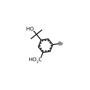 CC(C)(O)c1cc(Br)cc(C(=O)O)c1